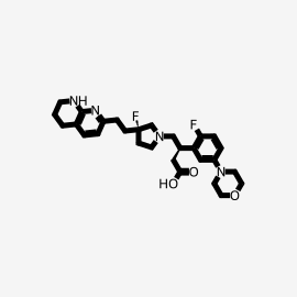 O=C(O)C[C@@H](CN1CC[C@@](F)(CCc2ccc3c(n2)NCCC3)C1)c1cc(N2CCOCC2)ccc1F